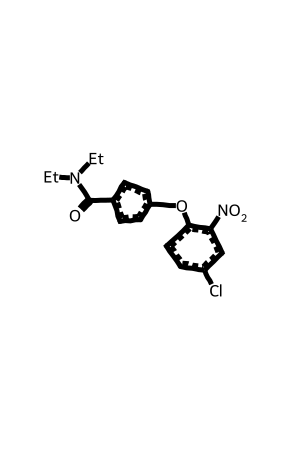 CCN(CC)C(=O)c1ccc(Oc2ccc(Cl)cc2[N+](=O)[O-])cc1